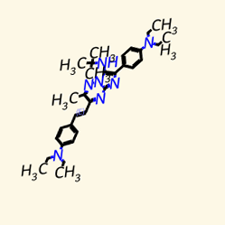 CCN(CC)c1ccc(/C=C/c2nc3nc(-c4ccc(N(CC)CC)cc4)c(NC(C)(C)C)n3nc2C)cc1